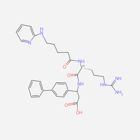 N=C(N)NCCC[C@@H](NC(=O)CCCCNc1ccccn1)C(=O)NC(CC(=O)O)c1ccc(-c2ccccc2)cc1